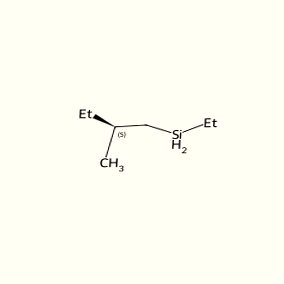 CC[SiH2]C[C@@H](C)CC